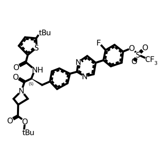 CC(C)(C)OC(=O)C1CN(C(=O)[C@H](Cc2ccc(-c3ncc(-c4ccc(OS(=O)(=O)C(F)(F)F)cc4F)cn3)cc2)NC(=O)c2ccc(C(C)(C)C)s2)C1